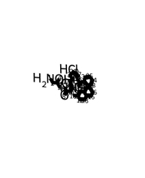 Cl.NCC(O)CNC(=O)[C@@H](Cc1ccc2ccccc2c1)NC(=O)C1CCCN1C(=O)c1ccccc1